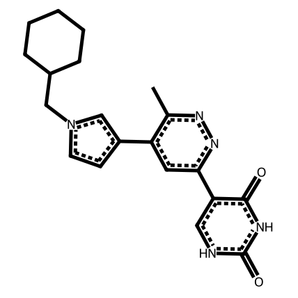 Cc1nnc(-c2c[nH]c(=O)[nH]c2=O)cc1-c1ccn(CC2CCCCC2)c1